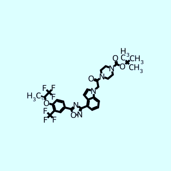 C[C@H](Oc1ccc(-c2nc(-c3cccc4c3ccn4CC(=O)N3CCN(C(=O)OC(C)(C)C)CC3)no2)cc1C(F)(F)F)C(F)(F)F